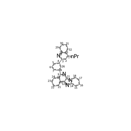 CCCc1cc(-c2cccc(-c3nc4c(nc5ccccn54)c4ccccc34)c2)nc2ccccc12